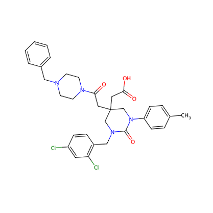 Cc1ccc(N2CC(CC(=O)O)(CC(=O)N3CCN(Cc4ccccc4)CC3)CN(Cc3ccc(Cl)cc3Cl)C2=O)cc1